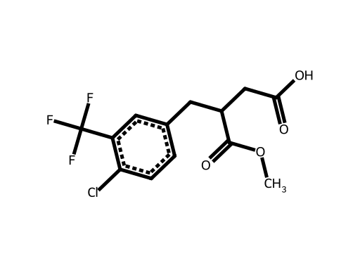 COC(=O)C(CC(=O)O)Cc1ccc(Cl)c(C(F)(F)F)c1